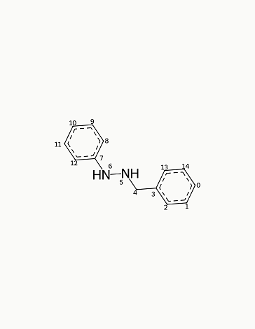 c1ccc(CNNc2ccccc2)cc1